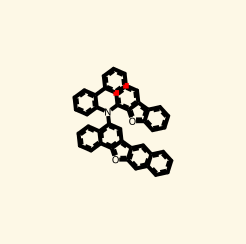 c1ccc(-c2ccccc2N(c2cc3c4cc5ccccc5cc4oc3c3ccccc23)c2cccc3c2oc2ccccc23)cc1